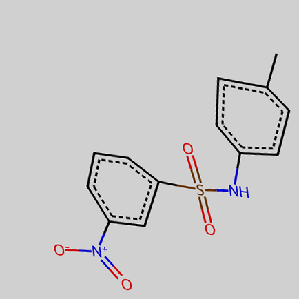 Cc1ccc(NS(=O)(=O)c2cccc([N+](=O)[O-])c2)cc1